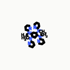 C=[N+](c1ccccn1)c1cc([N+](=C)c2ccccn2)c([N+](=C)c2ccccn2)cc1[N+](=C)c1ccccn1